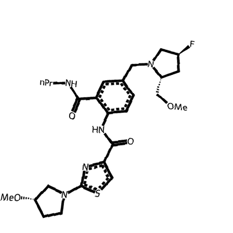 CCCNC(=O)c1cc(CN2C[C@@H](F)C[C@@H]2COC)ccc1NC(=O)c1csc(N2CC[C@H](OC)C2)n1